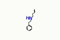 C=CCCNCCc1ccccc1